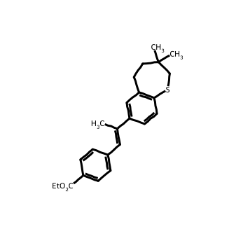 CCOC(=O)c1ccc(C=C(C)c2ccc3c(c2)CCC(C)(C)CS3)cc1